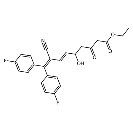 CCOC(=O)CC(=O)CC(O)/C=C/C(C#N)=C(c1ccc(F)cc1)c1ccc(F)cc1